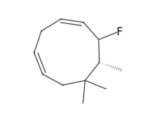 C[C@H]1C(F)C=CC/C=C\CC1(C)C